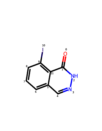 O=c1[nH]ncc2cccc(I)c12